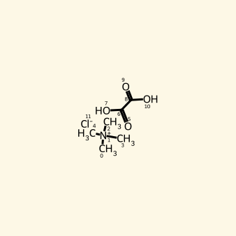 C[N+](C)(C)C.O=C(O)C(=O)O.[Cl-]